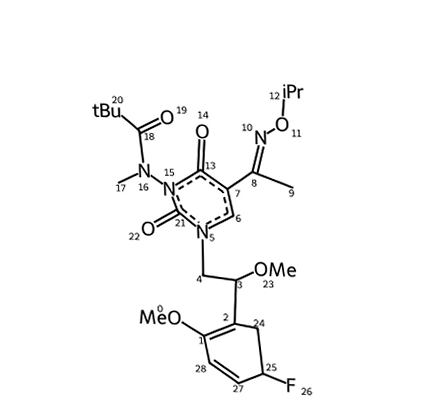 COC1=C(C(Cn2cc(/C(C)=N/OC(C)C)c(=O)n(N(C)C(=O)C(C)(C)C)c2=O)OC)CC(F)C=C1